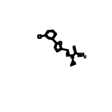 NC(=S)N(N=Cc1ccc(-c2cccc(Cl)c2)o1)C1CC1